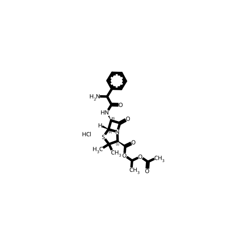 CC(=O)OC(C)OC(=O)[C@@H]1N2C(=O)[C@@H](NC(=O)C(N)c3ccccc3)[C@H]2SC1(C)C.Cl